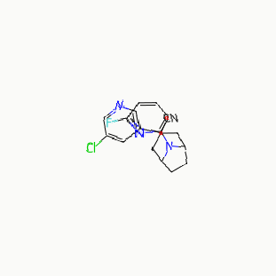 N#CC1(c2cncc(Cl)c2)CC2CCC(C1)N2c1cccc(F)n1